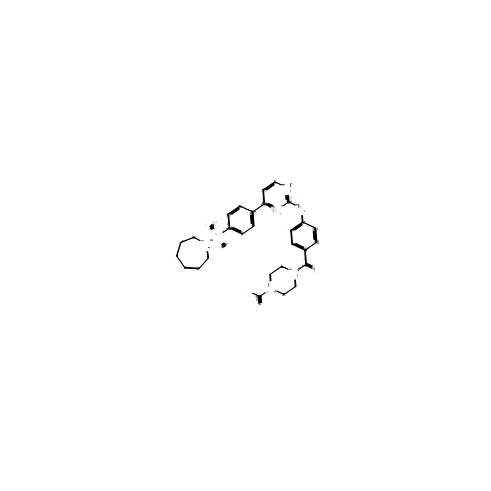 CC(=O)N1CCN(C(=O)c2ccc(Nc3nccc(-c4ccc(S(=O)(=O)N5CCCCCC5)cc4)n3)cc2)CC1